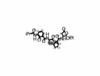 CCOC1OC(=O)CC1NC(=O)C1C2CC[C@@H](C2)N1C(=O)C(NC(=O)c1cccc(NC(=O)C(C)C)c1Cl)C(C)(C)C